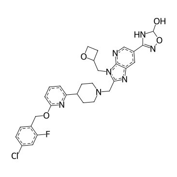 OC1NC(c2cnc3c(c2)nc(CN2CCC(c4cccc(OCc5ccc(Cl)cc5F)n4)CC2)n3CC2CCO2)=NO1